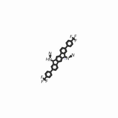 N#C/N=C1\c2cc(-c3ccc(C(F)(F)F)cc3)ccc2-c2cc3c(cc21)-c1ccc(-c2ccc(C(F)(F)F)cc2)cc1C3NC#N